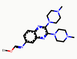 CCOC=Nc1ccc2nc(N3CCN(C)CC3)c(N3CCN(C)CC3)nc2c1